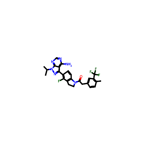 Cc1ccc(CC(=O)N2CCc3c2ccc(-c2nn(C(C)C)c4ncnc(N)c24)c3F)cc1C(F)(F)F